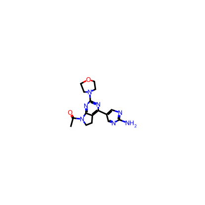 CC(=O)N1CCc2c(-c3cnc(N)nc3)nc(N3CCOCC3)nc21